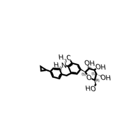 Cc1cc([C@@H]2O[C@H](CO)[C@@H](O)C(O)[C@H]2O)cc(Cc2ccc(C3CC3)cc2)c1N